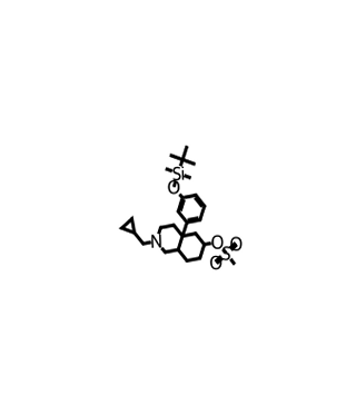 CC(C)(C)[Si](C)(C)Oc1cccc(C23CCN(CC4CC4)CC2CCC(OS(C)(=O)=O)C3)c1